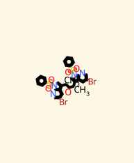 CC(C(=O)C(C)c1cn(S(=O)(=O)c2ccccc2)c2ncc(Br)cc12)c1cn(S(=O)(=O)c2ccccc2)c2ncc(Br)cc12